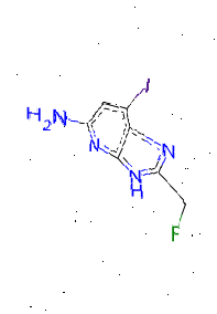 Nc1cc(I)c2nc(CF)[nH]c2n1